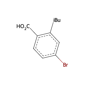 CCC(C)c1cc(Br)ccc1C(=O)O